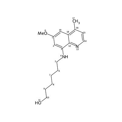 COc1cc(NCCCCCCO)c2nccc(C)c2c1